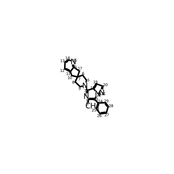 Cc1nc(N2CCC3(CC2)Cc2cccnc2C3)c2ccnn2c1-c1ccccc1